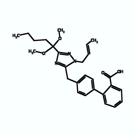 C/C=C/Cn1nc(C(CCCC)(OC)OC)nc1Cc1ccc(-c2ccccc2C(=O)O)cc1